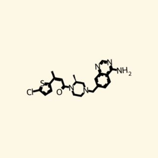 CC(=CC(=O)N1CCN(Cc2ccc3c(N)ncnc3c2)C[C@@H]1C)c1ccc(Cl)s1